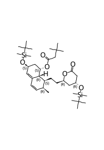 C[C@H]1C=CC2=C[C@@H](O[Si](C)(C)C(C)(C)C)C[C@H](OC(=O)CC(C)(C)C)[C@@H]2[C@H]1CC[C@@H]1C[C@@H](O[Si](C)(C)C(C)(C)C)CC(=O)O1